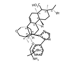 CC(C)[C@@H](C)[C@@]1(C)CC[C@]2(C)[C@H]3CC[C@@H]4[C@@]5(COC[C@]4(C)[C@@H](OCC(C)(N)C(C)(C)C)[C@H](n4ncnc4-c4ccncc4)C5)C3=CC[C@@]2(C)C1C(=O)O